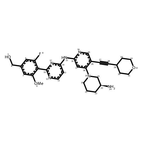 COc1cc(CO)cc(F)c1-c1nccc(Nc2cc(N3CCC[C@H](N)C3)c(C#CC3CCOCC3)cn2)n1